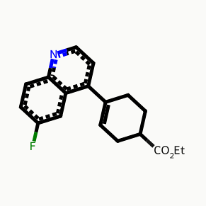 CCOC(=O)C1CC=C(c2ccnc3ccc(F)cc23)CC1